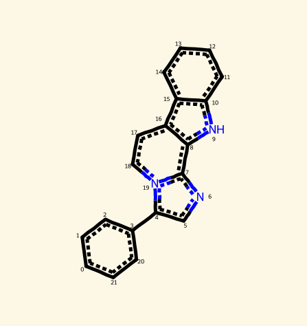 c1ccc(-c2cnc3c4[nH]c5ccccc5c4ccn23)cc1